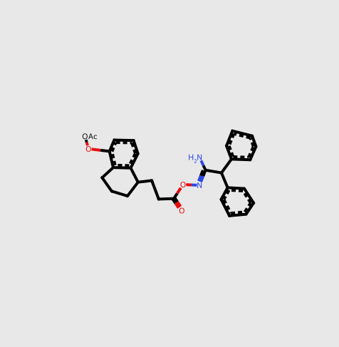 CC(=O)OOc1cccc2c1CCCC2CCC(=O)O/N=C(\N)C(c1ccccc1)c1ccccc1